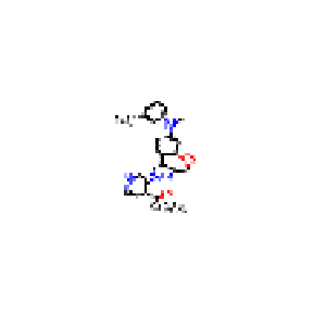 COC(=O)c1ccncc1NC[C@@H]1CCOc2cc(N(C)c3cccc(C#N)c3)ccc21